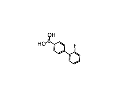 OB(O)c1ccc(-c2ccccc2F)cc1